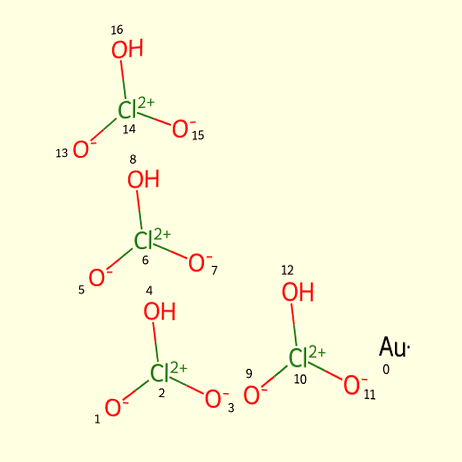 [Au].[O-][Cl+2]([O-])O.[O-][Cl+2]([O-])O.[O-][Cl+2]([O-])O.[O-][Cl+2]([O-])O